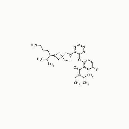 CCN(C(=O)c1cc(F)ccc1Oc1nncnc1N1CCC2(C1)CN(C(CCCN)C(C)C)C2)C(C)C